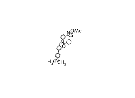 COc1nc(-c2cccc(N(Cc3ccc(-c4ccc(N(C)C)cc4)cc3)C(=O)C3CCCCC3)c2)cs1